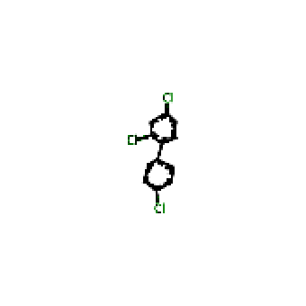 Clc1ccc(-c2[c]cc(Cl)cc2Cl)cc1